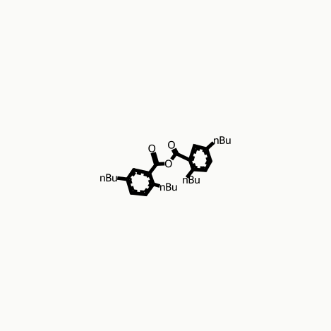 CCCCc1ccc(CCCC)c(C(=O)OC(=O)c2cc(CCCC)ccc2CCCC)c1